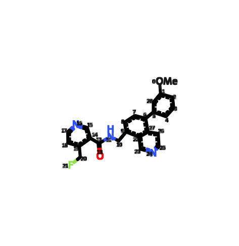 COc1cccc(-c2ccc(CNC(=O)c3cnccc3CF)c3cnccc23)c1